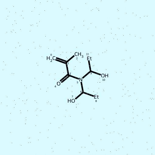 C=C(C)C(=O)N(C(O)CC)C(O)CC